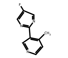 Cc1ccn[c]c1-c1ncc(F)cn1